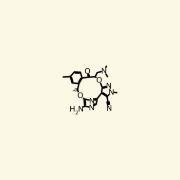 Cc1ccc2c(c1)[C@@H](C)Oc1nc(cnc1N)-c1c(nn(C)c1C#N)OC(CN(C)C)C2=O